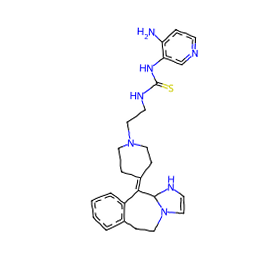 Nc1ccncc1NC(=S)NCCN1CCC(=C2c3ccccc3CCN3C=CNC23)CC1